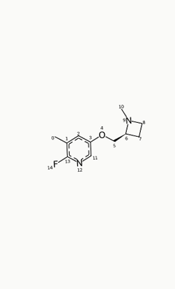 Cc1cc(OC[C@@H]2CCN2C)cnc1F